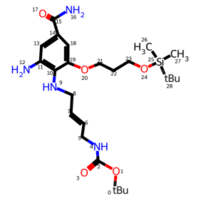 CC(C)(C)OC(=O)NC/C=C/CNc1c(N)cc(C(N)=O)cc1OCCCO[Si](C)(C)C(C)(C)C